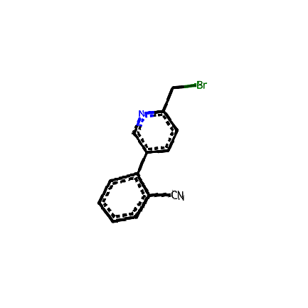 N#Cc1ccccc1-c1ccc(CBr)nc1